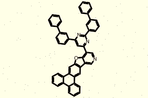 c1ccc(-c2cccc(-c3cc(-c4cncc5c4oc4cc6c7ccccc7c7ccccc7c6cc45)nc(-c4cccc(-c5ccccc5)c4)n3)c2)cc1